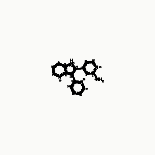 Nc1cc(-c2[nH]c3cccnc3c2-c2ccccn2)ccn1